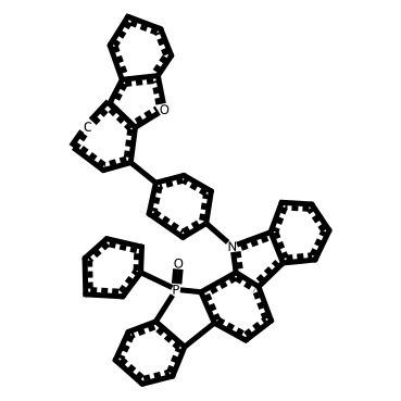 O=P1(c2ccccc2)c2ccccc2-c2ccc3c4ccccc4n(-c4ccc(-c5cccc6c5oc5ccccc56)cc4)c3c21